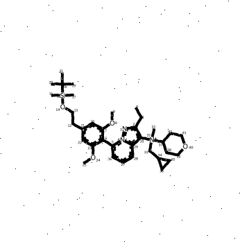 CCc1nn2c(-c3c(OC)cc(CCO[Si](C)(C)C(C)(C)C)cc3OC)cccc2c1[N+](C)(CC1CC1)C1CCOCC1